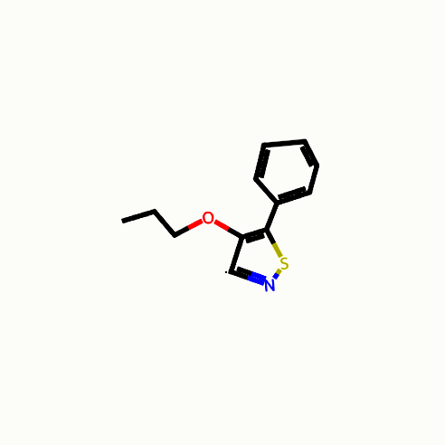 CCCOc1[c]nsc1-c1ccccc1